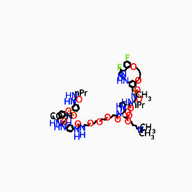 CCCNC(=O)Nc1cccc(S(=O)(=O)Nc2cccc([C@@H](CC(=O)O)NC(=O)Nc3ccc(NC(=O)NCCOCCOCCOCCC(=O)N[C@@H](CC(=O)OCCCCN(C)C)C(=O)N4CCC[C@H]4C(=O)N[C@H](C(=O)N=[S@](C)(=O)Cc4cc5cc(c4)OCCCCOc4cc(F)ccc4-c4nc(ncc4F)N5)C(C)C)cc3)c2)c1